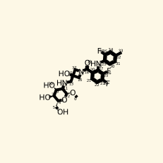 CO[C@@H]1O[C@H](CO)[C@@H](O)[C@H](O)C1NCC1(O)CN(C(=O)c2ccc(F)c(F)c2Nc2ccc(C)cc2F)C1